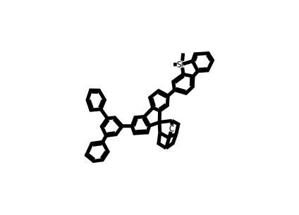 C[Si]1(C)c2ccccc2-c2ccc(-c3ccc4c(c3)C3(c5ccc(-c6cc(-c7ccccc7)cc(-c7ccccc7)c6)cc5-4)C4CC5CC(C4)CC3C5)cc21